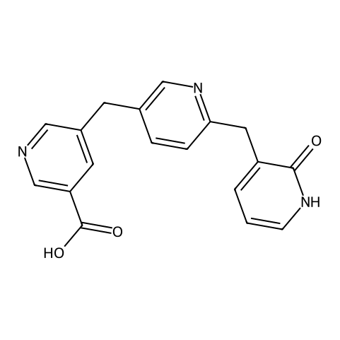 O=C(O)c1cncc(Cc2ccc(Cc3ccc[nH]c3=O)nc2)c1